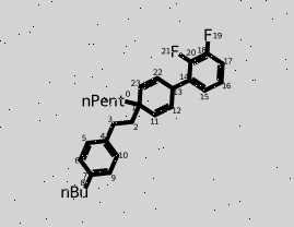 CCCCCC1(CCc2ccc(CCCC)cc2)C=CC(c2cccc(F)c2F)C=C1